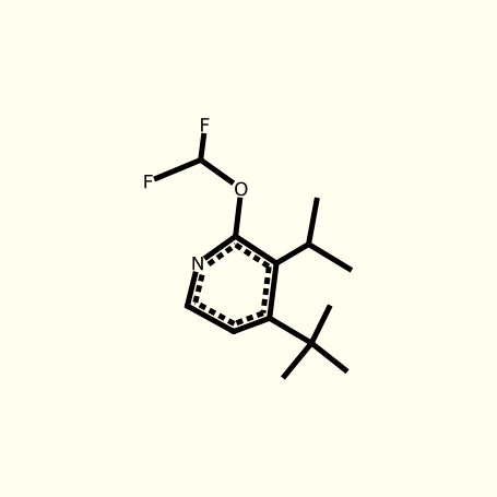 CC(C)c1c(C(C)(C)C)ccnc1OC(F)F